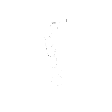 C[C@@H]1CN(CC(=O)Nc2cc3cc(-c4cnn(C)c4)ncc3cn2)C[C@H](C)O1